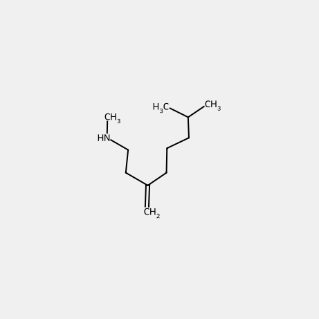 C=C(CCCC(C)C)CCNC